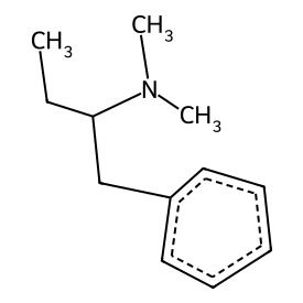 CCC(Cc1ccccc1)N(C)C